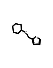 c1coc(COC2CCCCC2)c1